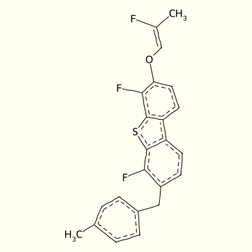 C/C(F)=C/Oc1ccc2c(sc3c(F)c(Cc4ccc(C)cc4)ccc32)c1F